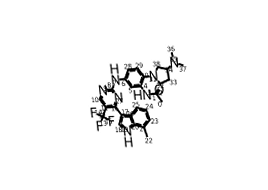 CC(=O)Nc1cc(Nc2ncc(C(F)(F)F)c(-c3c[nH]c4c(C)cccc34)n2)ccc1N1CCC(N(C)C)C1